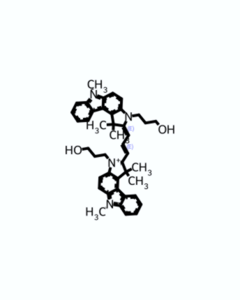 Cn1c2ccccc2c2c3c(ccc21)[N+](CCCO)=C(/C=C/C=C1/N(CCCO)c2ccc4c(c2C1(C)C)c1ccccc1n4C)C3(C)C